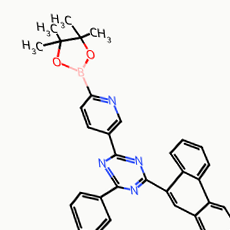 CC1(C)OB(c2ccc(-c3nc(-c4ccccc4)nc(-c4cc5ccccc5c5ccccc45)n3)cn2)OC1(C)C